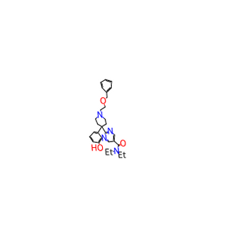 CCN(CC)C(=O)c1cnc(C2(c3cccc(O)c3)CCN(CCOCc3ccccc3)CC2)nc1